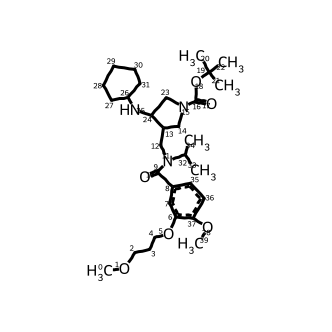 COCCCOc1cc(C(=O)N(CC2CN(C(=O)OC(C)(C)C)CC2NC2CCCCC2)C(C)C)ccc1OC